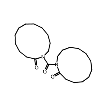 O=C1CCCCCCCCCCCN1C(=O)N1CCCCCCCCCCCC1=O